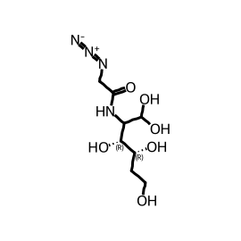 [N-]=[N+]=NCC(=O)NC(C(O)O)[C@@H](O)[C@H](O)CCO